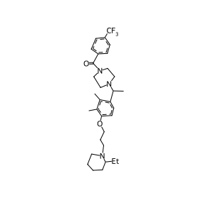 CCC1CCCCN1CCCOc1ccc(C(C)N2CCN(C(=O)c3ccc(C(F)(F)F)cc3)CC2)c(C)c1C